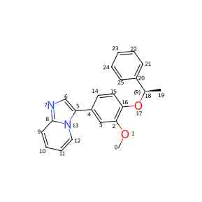 COc1cc(-c2cnc3ccccn23)ccc1O[C@H](C)c1ccccc1